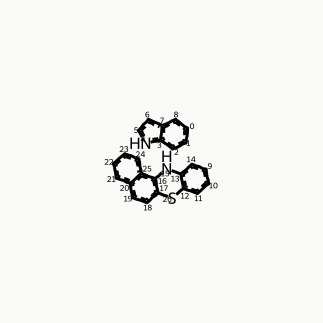 c1ccc2[nH]ccc2c1.c1ccc2c(c1)Nc1c(ccc3ccccc13)S2